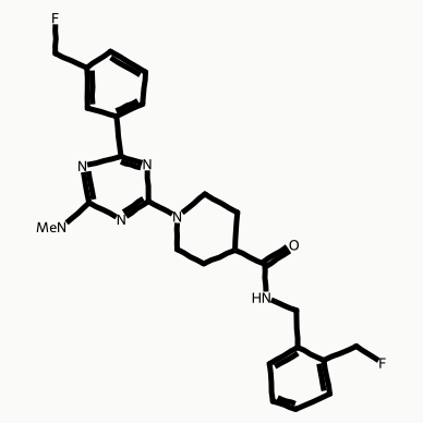 CNc1nc(-c2cccc(CF)c2)nc(N2CCC(C(=O)NCc3ccccc3CF)CC2)n1